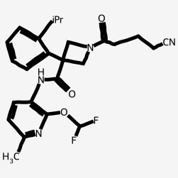 Cc1ccc(NC(=O)C2(c3ccccc3C(C)C)CN(C(=O)CCCC#N)C2)c(OC(F)F)n1